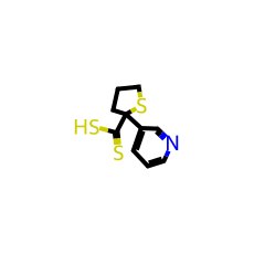 S=C(S)C1(c2cccnc2)CCCS1